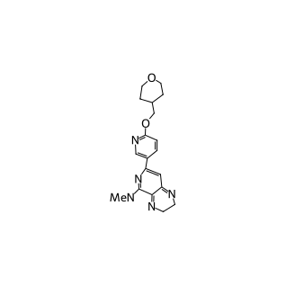 CNc1nc(-c2ccc(OCC3CCOCC3)nc2)cc2c1=NCCN=2